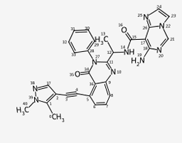 Cc1c(C#Cc2cccc3nc(C(C)NC(=O)c4c(N)ncn5ccnc45)n(-c4ccccc4)c(=O)c23)cnn1C